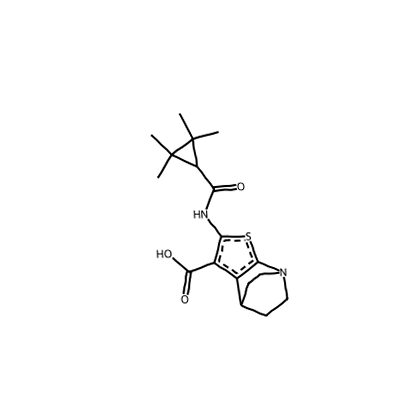 CC1(C)C(C(=O)Nc2sc3c(c2C(=O)O)C2CCN3CC2)C1(C)C